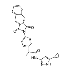 CC(C(=O)Nc1cc(C2CC2)[nH]n1)c1ccc(N2C(=O)c3cc4ccccc4cc3C2=O)cc1